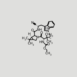 CCOC(=O)N[C@H](C(=O)N1CC2[C@H](C1C(=O)N[C@H](C#N)Cc1c[nH]c3ccccc13)C2(C)C)C(C)(C)C